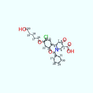 O=C(O)c1cn2c(cc1=O)-c1cc(Cl)c(OCCCCCO)cc1OC2c1ccccc1